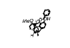 CO[C@]12CC[C@@]3(C[C@]1(C)COCc1ccccc1)[C@H]1Cc4ccc(O)c5c4[C@@]3(CCN1C)C2O5